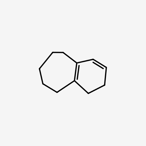 C1=CC2=C(CC1)CCCCC2